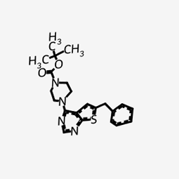 CC(C)(C)OC(=O)N1CCN(c2ncnc3sc(Cc4ccccc4)cc23)CC1